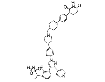 CCC(c1cccc(-c2cn(-c3ccc(C4CCN(CC5CCN(c6ccc(C7CCC(=O)NC7=O)cc6)CC5)CC4)cc3)nc2-c2ccncc2)c1F)S(N)(=O)=O